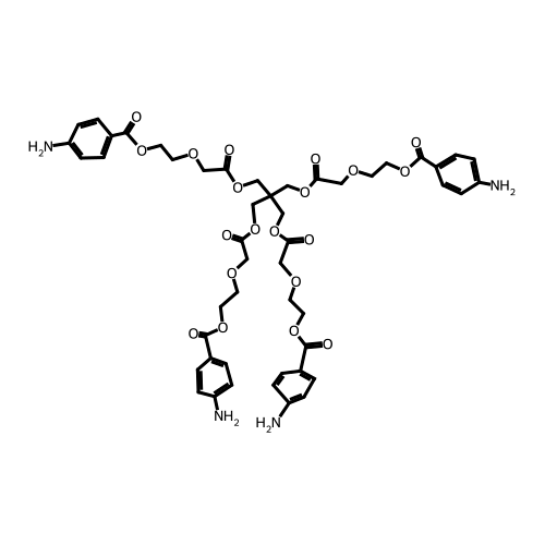 Nc1ccc(C(=O)OCCOCC(=O)OCC(COC(=O)COCCOC(=O)c2ccc(N)cc2)(COC(=O)COCCOC(=O)c2ccc(N)cc2)COC(=O)COCCOC(=O)c2ccc(N)cc2)cc1